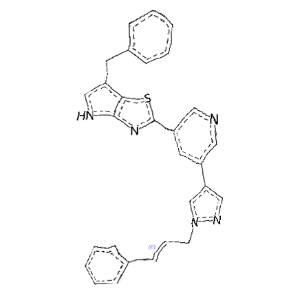 C(=C\c1ccccc1)/Cn1cc(-c2cncc(-c3nc4[nH]cc(Cc5ccccc5)c4s3)c2)cn1